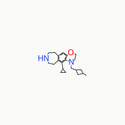 CC1CC(CN2CCOc3cc4c(c(C5CC5)c32)CCNCC4)C1